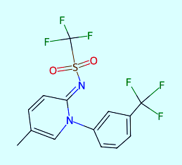 Cc1cc/c(=N\S(=O)(=O)C(F)(F)F)n(-c2cccc(C(F)(F)F)c2)c1